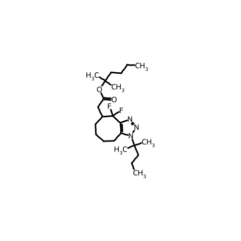 CCCCC(C)(C)OC(=O)CC1CCCCc2c(nnn2C(C)(C)CCC)C1(F)F